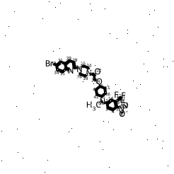 CN(c1ccc([N+](=O)[O-])c(C(F)(F)F)c1)[C@H]1CC[C@H](OCC(=O)N2CCN(c3ccc4cc(Br)ccc4n3)CC2)CC1